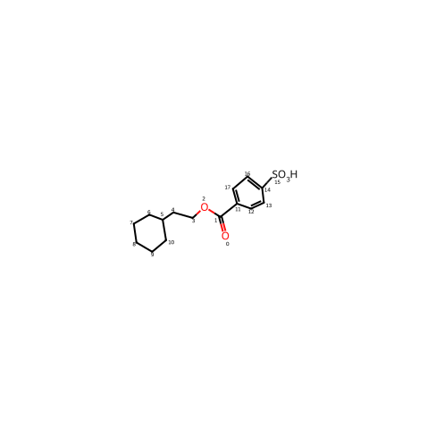 O=C(OCCC1CCCCC1)c1ccc(S(=O)(=O)O)cc1